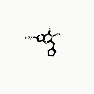 Nn1c(CC2=CCCC2)nc2cc(C(=O)O)sc2c1=O